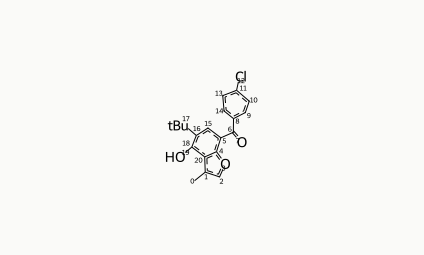 Cc1coc2c(C(=O)c3ccc(Cl)cc3)cc(C(C)(C)C)c(O)c12